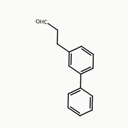 O=[C]CCc1cccc(-c2ccccc2)c1